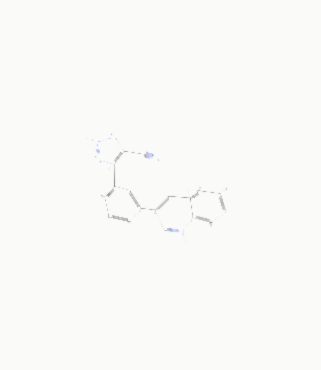 N#Cc1[nH]nnc1-c1cccc(-c2cnc3ccccc3c2)c1